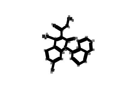 COC(=O)c1c(N)c2ccc(Br)cc2n(-c2cccc3cnccc23)c1=O